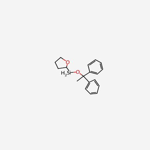 CC(O[SiH2]C1CCCO1)(c1ccccc1)c1ccccc1